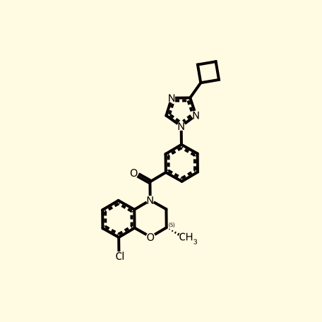 C[C@H]1CN(C(=O)c2cccc(-n3cnc(C4CCC4)n3)c2)c2cccc(Cl)c2O1